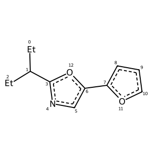 CCC(CC)c1ncc(-c2ccco2)o1